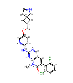 Cn1c(=O)c(-c2c(Cl)cccc2Cl)cc2cnc(Nc3ccc(OCC4CC5(CCNC5)C4)cn3)nc21